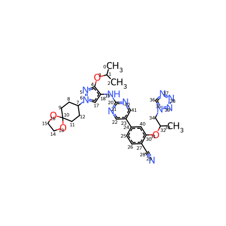 CC(C)Oc1nn(C2CCC3(CC2)OCCO3)cc1Nc1ncc(-c2ccc(C#N)c(OC(C)Cn3cnnn3)c2)cn1